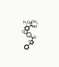 CN(C)C(=N)c1ccc2c(c1)C1(CCN(C(=O)c3ccc(-c4ccccc4)o3)CC1)CO2